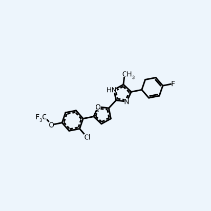 Cc1[nH]c(-c2ccc(-c3ccc(OC(F)(F)F)cc3Cl)o2)nc1C1C=CC(F)=CC1